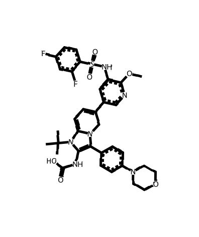 COc1ncc(C2=CC=C3N(C2)C(c2ccc(N4CCOCC4)cc2)=C(NC(=O)O)N3C(C)(C)C)cc1NS(=O)(=O)c1ccc(F)cc1F